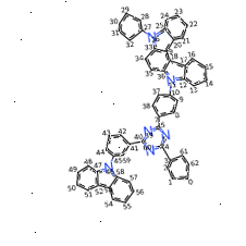 c1ccc(-c2nc(-c3ccc(-n4c5ccccc5c5c6c7ccccc7n(-c7ccccc7)c6ccc54)cc3)nc(-c3cccc(-n4c5ccccc5c5ccccc54)c3)n2)cc1